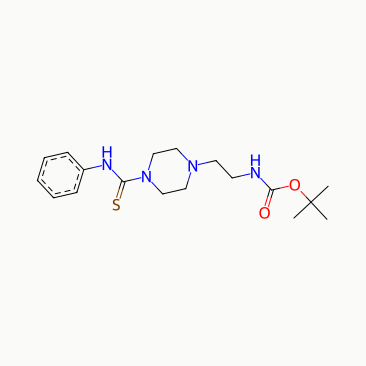 CC(C)(C)OC(=O)NCCN1CCN(C(=S)Nc2ccccc2)CC1